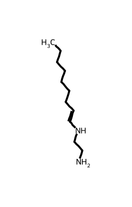 CCCCCCC/C=C/NCCN